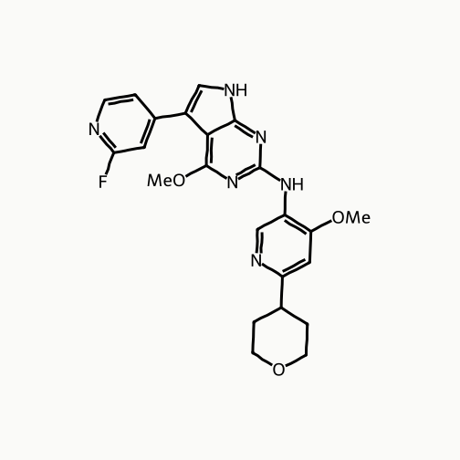 COc1cc(C2CCOCC2)ncc1Nc1nc(OC)c2c(-c3ccnc(F)c3)c[nH]c2n1